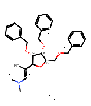 CN(C)C=C(C#N)C1O[C@H](COCc2ccccc2)[C@@H](OCc2ccccc2)[C@H]1OCc1ccccc1